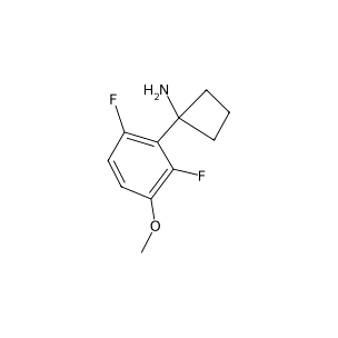 COc1ccc(F)c(C2(N)CCC2)c1F